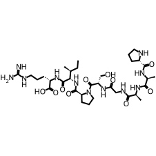 CC[C@H](C)[C@H](NC(=O)[C@@H]1CCCN1C(=O)[C@H](CO)NC(=O)CNC(=O)[C@H](C)NC(=O)[C@H](C)NC(=O)[C@@H]1CCCN1)C(=O)N[C@@H](CCCNC(=N)N)C(=O)O